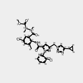 COC(=O)N(C)N(C)C(=O)c1cc(Cl)cc(C)c1NC(=O)c1cc(Cn2cc(C3CC3)nn2)nn1-c1ncccc1Cl